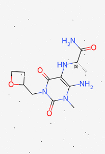 C[C@H](Nc1c(N)n(C)c(=O)n(CC2CCO2)c1=O)C(N)=O